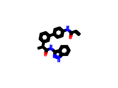 C=CC(=O)Nc1ccc(-c2cccc(C(C)C(=O)Nc3n[nH]c4ccccc34)c2)cc1